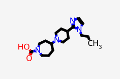 CCCn1ccnc1C1CCN(C2CCCN(C(=O)O)CC2)CC1